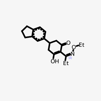 CCO/N=C(/CC)C1=C(O)CC(c2ccc3c(c2)CCC3)CC1=O